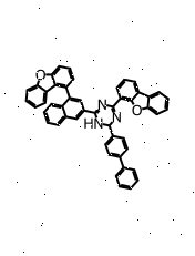 c1ccc(-c2ccc(C3N=C(c4cccc5c4oc4ccccc45)N=C(c4cc(-c5cccc6oc7ccccc7c56)c5ccccc5c4)N3)cc2)cc1